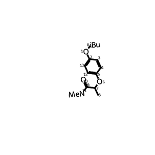 CCC(C)Oc1ccc(OC(C)C(=O)NC)cc1